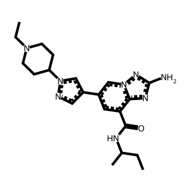 CCC(C)NC(=O)c1cc(-c2cnn(C3CCN(CC)CC3)c2)cn2nc(N)nc12